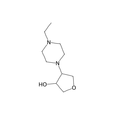 CCN1CCN(C2COCC2O)CC1